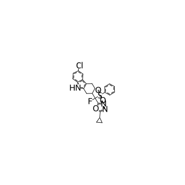 O=S(=O)(c1ccccc1)C(F)(c1nnc(C2CC2)o1)C1CCc2c([nH]c3ccc(Cl)cc23)C1